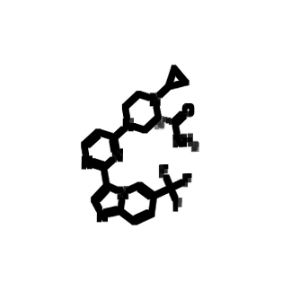 NC(=O)[C@@H]1CN(c2ccnc(-c3cnc4ccc(C(F)(F)F)cn34)n2)CCN1C1CC1